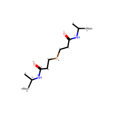 CCCCCCCCCC(C)NC(=O)CCSCCC(=O)NC(C)CCCCCCCCC